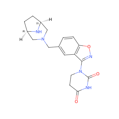 O=C1CCN(c2noc3ccc(CN4C[C@H]5CC[C@@H](C4)N5)cc23)C(=O)N1